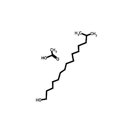 CC(=O)O.CC(C)CCCCCCCCCCCCCO